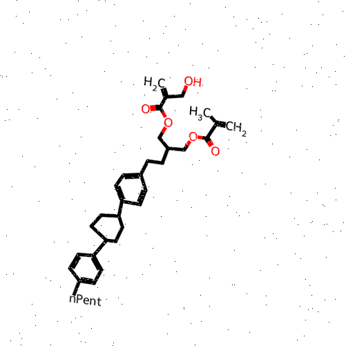 C=C(C)C(=O)OCC(CCc1ccc(C2CCC(c3ccc(CCCCC)cc3)CC2)cc1)COC(=O)C(=C)CO